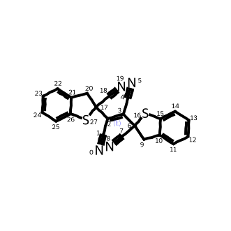 N#C/C(=C(/C#N)C1(C#N)Cc2ccccc2S1)C1(C#N)Cc2ccccc2S1